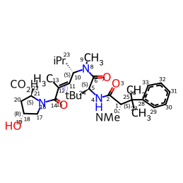 CN[C@H](C(=O)N[C@H](C(=O)N(C)[C@H](/C=C(\C)C(=O)N1C[C@H](O)C[C@H]1C(=O)O)C(C)C)C(C)(C)C)C(C)(C)c1ccccc1